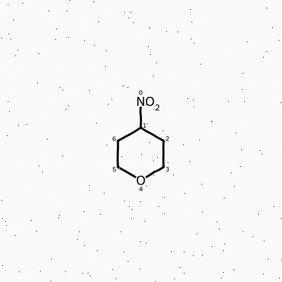 O=[N+]([O-])C1CCOCC1